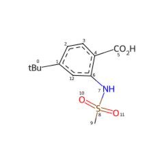 CC(C)(C)c1ccc(C(=O)O)c(NS(C)(=O)=O)c1